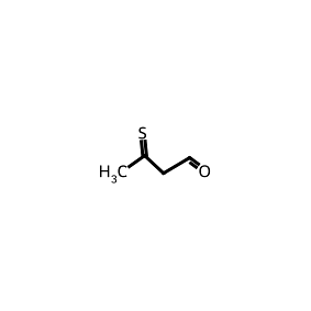 CC(=S)CC=O